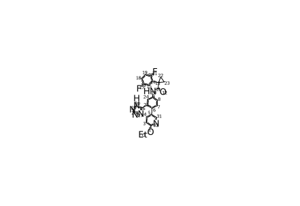 CCOc1ccc(-c2ccc(NC(=O)C3(c4cc(F)ccc4F)CC3)cc2-c2nnn[nH]2)cn1